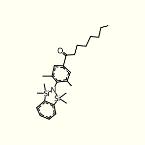 CCCCCCCC(=O)c1cc(C)c(N2[Si](C)(C)c3ccccc3[Si]2(C)C)c(C)c1